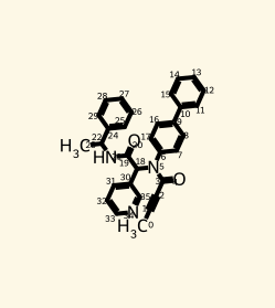 CC#CC(=O)N(c1ccc(-c2ccccc2)cc1)C(C(=O)NC(C)c1ccccc1)c1cccnc1